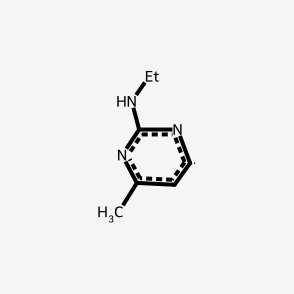 CCNc1n[c]cc(C)n1